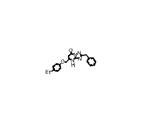 CCc1ccc(OCc2cc(=O)n3nc(Cc4ccccc4)nc3[nH]2)cc1